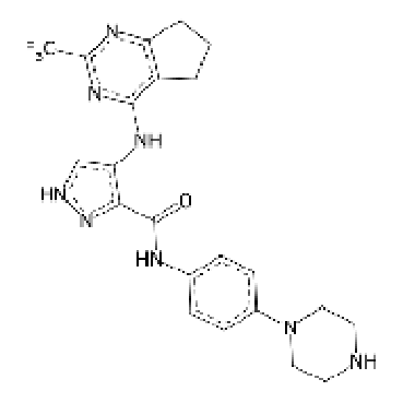 O=C(Nc1ccc(N2CCNCC2)cc1)c1n[nH]cc1Nc1nc(C(F)(F)F)nc2c1CCC2